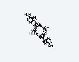 Nc1ncnc2c1ncn2[C@@H]1O[C@@H]2CCP(=O)(O)O[C@H]3C[C@H](n4cnc5c(N)ncnc54)O[C@@H]3COP(=O)(O)O[C@H]2[C@H]1F